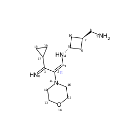 N=C(/C(=C\N[C@H]1C[C@H](CN)C1)N1CCOCC1)C1CC1